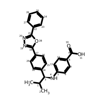 CC(C)[C@H](Nc1ccc(C(=O)O)cc1)c1ccc(-c2nnc(-c3ccccc3)o2)cc1